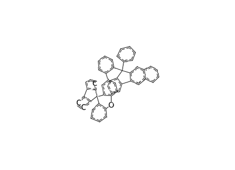 c1ccc(C2(c3ccccc3-c3ccc4c(c3)C3(c5ccccc5O4)c4ccccc4-c4ccccc43)c3ccccc3-c3cc4ccccc4cc32)cc1